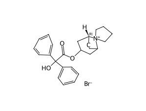 O=C(OC1CC2CC[C@H](C1)[N+]21CCCC1)C(O)(c1ccccc1)c1ccccc1.[Br-]